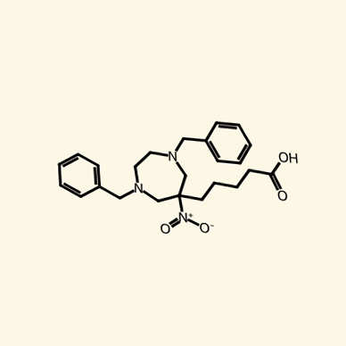 O=C(O)CCCCC1([N+](=O)[O-])CN(Cc2ccccc2)CCN(Cc2ccccc2)C1